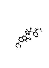 COc1ccccc1Nc1nc(-c2cc3ccc(N4CCCCC4)cc3oc2=O)cs1